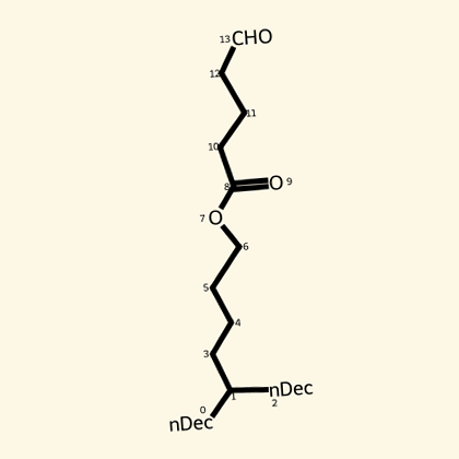 CCCCCCCCCCC(CCCCCCCCCC)CCCCOC(=O)CCCC=O